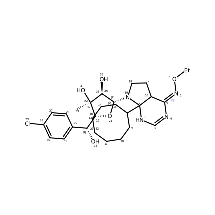 CCO/N=C1/N=CNC2(C3CCCCCCC3)C1CCN2[C@@H]1O[C@H]([C@H](O)c2ccc(Cl)cc2)[C@@](C)(O)[C@H]1O